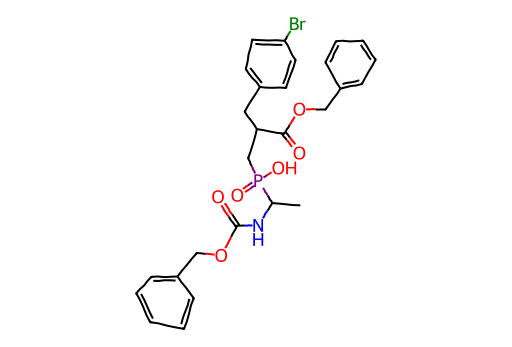 CC(NC(=O)OCc1ccccc1)P(=O)(O)CC(Cc1ccc(Br)cc1)C(=O)OCc1ccccc1